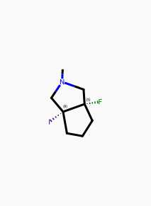 CN1C[C@@]2(F)CCC[C@@]2(I)C1